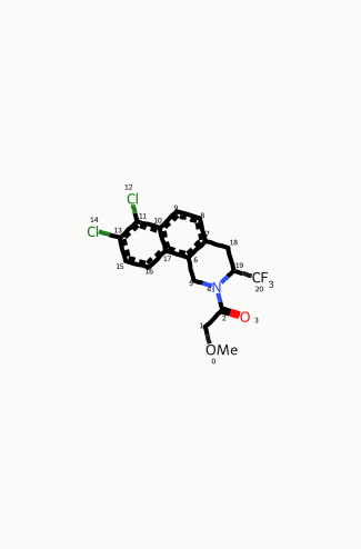 COCC(=O)N1Cc2c(ccc3c(Cl)c(Cl)ccc23)CC1C(F)(F)F